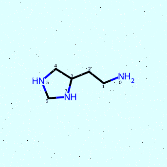 NCCC1CNCN1